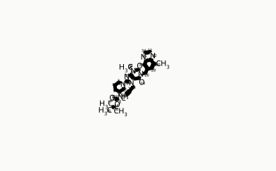 CC#CCn1c(N2CCC[C@@H](NC(=O)OC(C)(C)C)C2)nc2c1c(=O)n(Cc1cc(C)c3nccnc3c1)c(=O)n2C